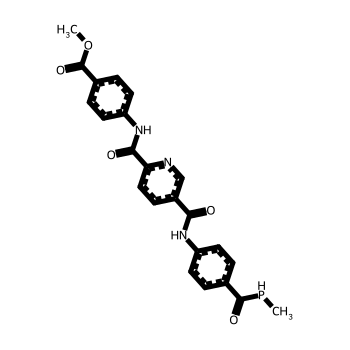 COC(=O)c1ccc(NC(=O)c2ccc(C(=O)Nc3ccc(C(=O)PC)cc3)cn2)cc1